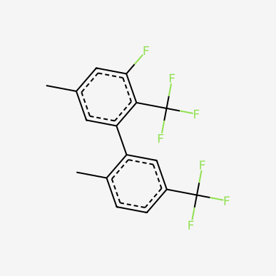 Cc1cc(F)c(C(F)(F)F)c(-c2cc(C(F)(F)F)ccc2C)c1